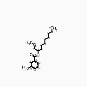 CCCCCCCCC(COC)OC(=O)c1cccc(C)c1